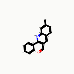 Cc1ccc2cc(C=O)c(-c3ccccc3)nc2c1